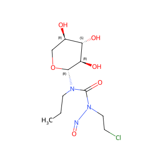 CCCN(C(=O)N(CCCl)N=O)[C@@H]1OC[C@@H](O)[C@H](O)[C@H]1O